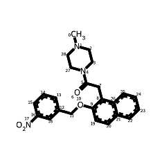 CN1CCN(C(=O)Cc2c(OCc3cccc([N+](=O)[O-])c3)ccc3ccccc23)CC1